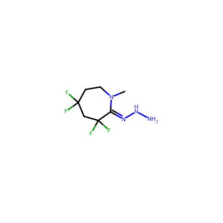 CN1CCC(F)(F)CC(F)(F)/C1=N/NN